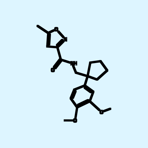 COc1ccc(C2(CNC(=O)c3cc(C)on3)CCCC2)cc1OC